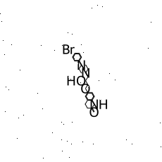 O=C1CCc2cc(OCC(O)CN3CCN(c4ccc(Br)cc4)CC3)ccc2N1